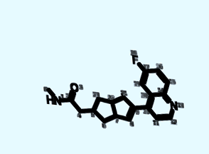 CNC(=O)CC1CC2C=C(c3ccnc4ccc(F)cc34)CC2C1